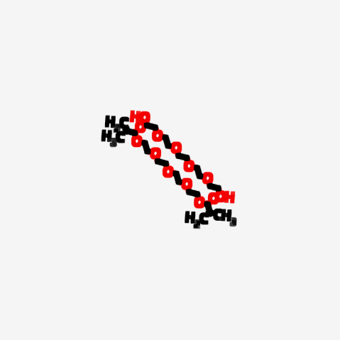 C=C(C)C(=O)OCCOCCOCCOCCOC(=O)C(=C)C.OCCOCCOCCOCCOCCO